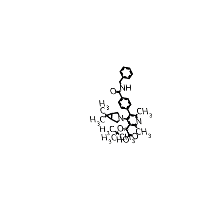 Cc1nc(C)c([C@H](OC(C)(C)C)C(=O)O)c(N2CC3C(C2)C3(C)C)c1-c1ccc(C(=O)NCc2ccccc2)cc1